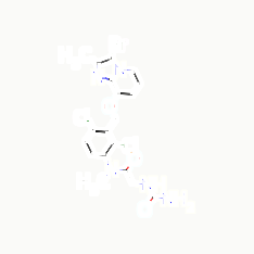 Cc1nc2c(OCc3c(Cl)ccc(N(C)C(=O)CNC(N)=O)c3Cl)cccn2c1Br